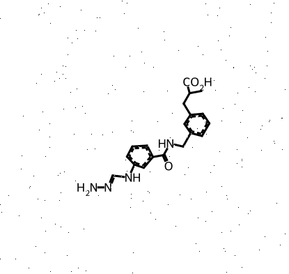 CC(Cc1cccc(CNC(=O)c2cccc(NC=NN)c2)c1)C(=O)O